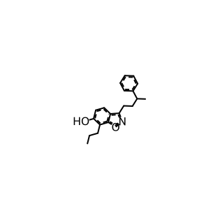 CCCc1c(O)ccc2c(CCC(C)c3ccccc3)noc12